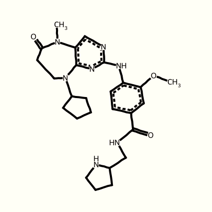 COc1cc(C(=O)NCC2CCCN2)ccc1Nc1ncc2c(n1)N(C1CCCC1)CCC(=O)N2C